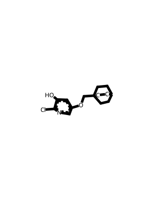 Oc1cc(OCC23CCC(CC2)CC3)cnc1Cl